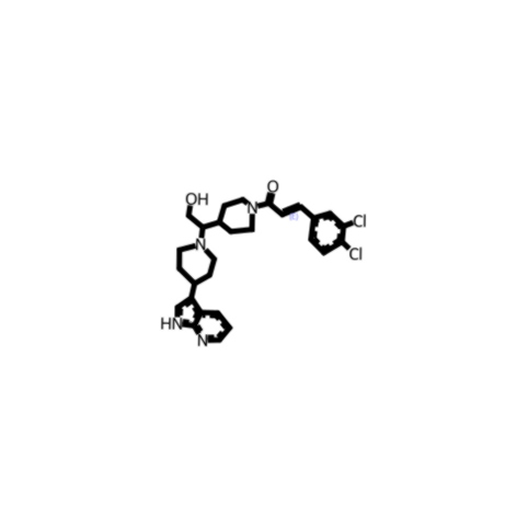 O=C(/C=C/c1ccc(Cl)c(Cl)c1)N1CCC(C(CO)N2CCC(c3c[nH]c4ncccc34)CC2)CC1